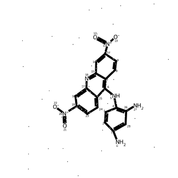 Nc1ccc(Nc2c3ccc([N+](=O)[O-])cc3nc3cc([N+](=O)[O-])ccc23)c(N)c1